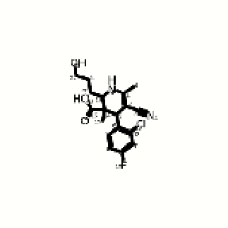 CC1=C(C#N)C(c2ccc(F)cc2Cl)C(C)(C(=O)O)C(CCCO)N1